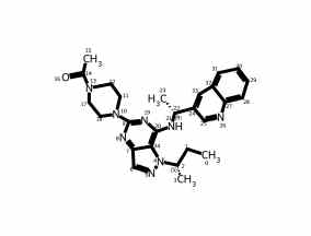 CC[C@H](C)n1ncc2nc(N3CCN(C(C)=O)CC3)nc(N[C@H](C)c3cnc4ccccc4c3)c21